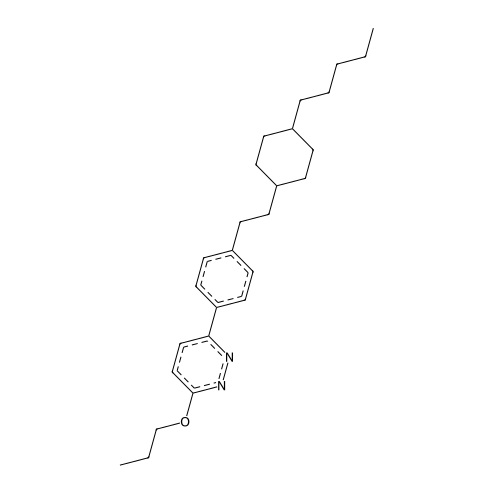 CCCCCC1CCC(CCc2ccc(-c3ccc(OCCC)nn3)cc2)CC1